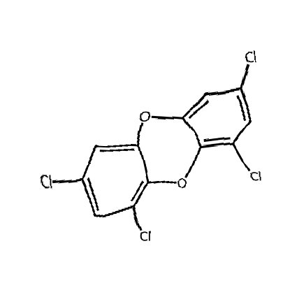 Clc1cc(Cl)c2c(c1)Oc1cc(Cl)cc(Cl)c1O2